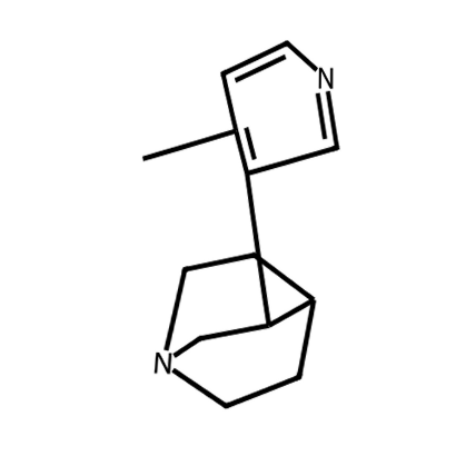 Cc1ccncc1C1CN2CCC1CC2